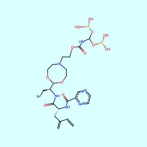 C=CC(=C)C[C@@H](NC(=O)c1cnccn1)C(=O)N[C@@H](CC(C)C)B1OCCN(CCOC(=O)NC(OP(O)O)OP(O)O)CCO1